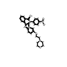 O=c1c2ccccc2c2nc3ccc(OCCN4CCOCC4)cn3c2n1-c1ccc([N+](=O)[O-])cc1